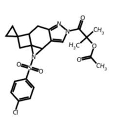 CC(=O)OC(C)(C)C(=O)n1cc2c(n1)CC1C3(CC3)CC13C2N3S(=O)(=O)c1ccc(Cl)cc1